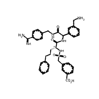 N=C(N)c1ccc(CNC(=O)C(NC(=O)[C@@H](CCCc2ccccc2)NS(=O)(=O)Cc2cccc(C(=O)O)c2)c2cccc(CN)c2)cc1